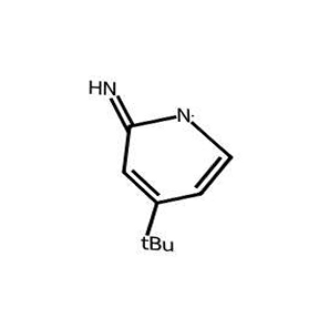 CC(C)(C)C1=CC(=N)[N]C=C1